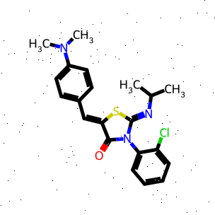 CC(C)/N=C1\S/C(=C\c2ccc(N(C)C)cc2)C(=O)N1c1ccccc1Cl